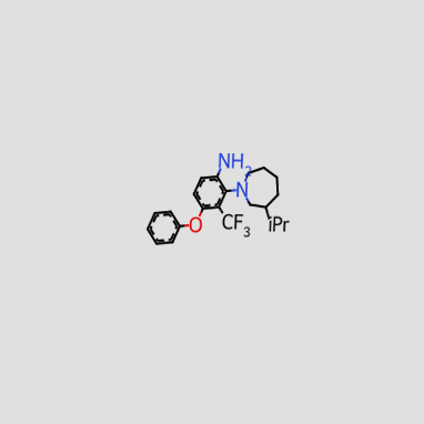 CC(C)C1CCCCN(c2c(N)ccc(Oc3ccccc3)c2C(F)(F)F)C1